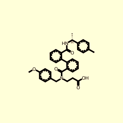 COc1ccc(CN(CCC(=O)O)C(=O)c2ccccc2-c2ccccc2C(=O)N[C@H](C)c2ccc(C)cc2)cc1